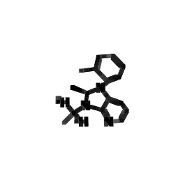 [2H]C([2H])(C)N1c2ncccc2N(c2ccccc2C)[C@@H]1C